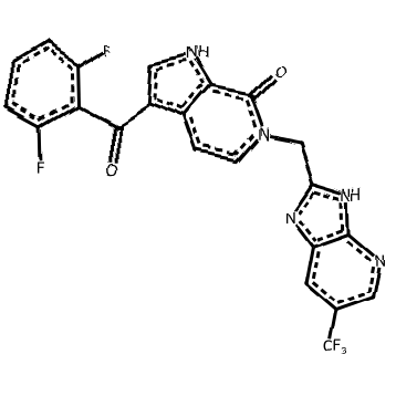 O=C(c1c(F)cccc1F)c1c[nH]c2c(=O)n(Cc3nc4cc(C(F)(F)F)cnc4[nH]3)ccc12